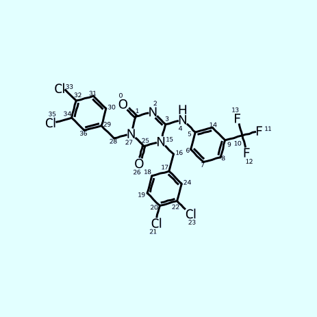 O=c1nc(Nc2cccc(C(F)(F)F)c2)n(Cc2ccc(Cl)c(Cl)c2)c(=O)n1Cc1ccc(Cl)c(Cl)c1